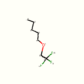 [CH2]CCCCOCC(F)(F)F